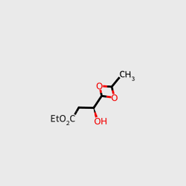 CCOC(=O)C[C@H](O)C1OC(C)O1